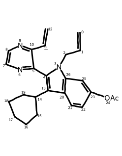 C=CCn1c(-c2nccnc2C=C)c(C2CCCCC2)c2ccc(OC(C)=O)cc21